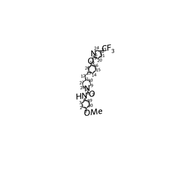 COc1ccc(NC(=O)N2CCC(Cc3cccc(Oc4ccc(C(F)(F)F)cn4)c3)CC2)cc1